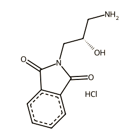 Cl.NC[C@H](O)CN1C(=O)c2ccccc2C1=O